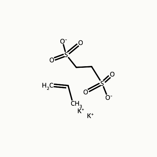 C=CC.O=S(=O)([O-])CCS(=O)(=O)[O-].[K+].[K+]